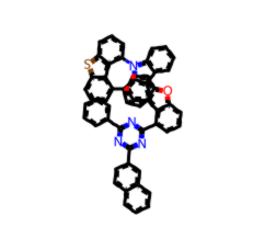 c1ccc(-c2nc(-c3ccc4ccccc4c3)nc(-c3cccc4oc5ccc(-c6cccc7sc8cccc(-n9c%10ccccc%10c%10ccccc%109)c8c67)cc5c34)n2)cc1